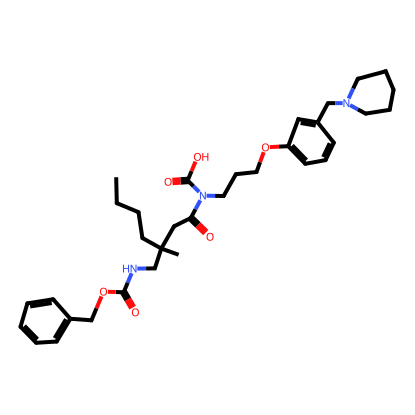 CCCCC(C)(CNC(=O)OCc1ccccc1)CC(=O)N(CCCOc1cccc(CN2CCCCC2)c1)C(=O)O